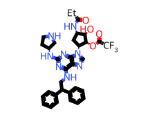 CCC(=O)N[C@H]1C[C@@H](n2cnc3c(NCC(c4ccccc4)c4ccccc4)nc(N[C@@H]4CCNC4)nc32)[C@H](OC(=O)C(F)(F)F)[C@@H]1O